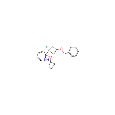 FC1(C2(OC3CCC3)C=CC=CN2)CC(OCc2ccccc2)C1